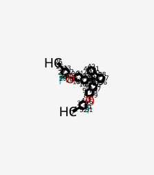 C#Cc1ccc(Oc2ccc3cc(C4(c5ccc6cc(Oc7ccc(C#C)cc7F)ccc6c5)c5ccccc5-c5ccccc54)ccc3c2)c(F)c1